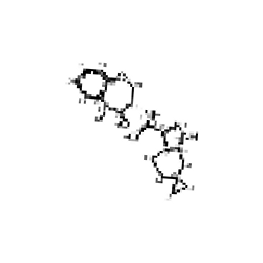 CN1C(=O)[C@@H](NC(=O)c2n[nH]c3c2CCC2(CC2)C3)COc2ccccc21